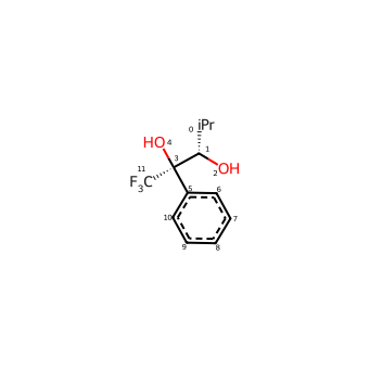 CC(C)[C@H](O)[C@](O)(c1ccccc1)C(F)(F)F